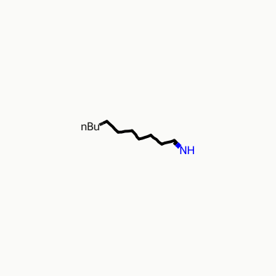 CCCCCCCCCCC=N